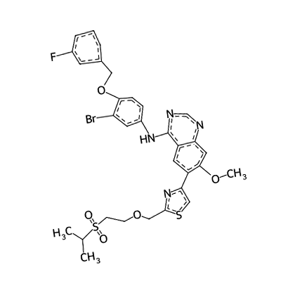 COc1cc2ncnc(Nc3ccc(OCc4cccc(F)c4)c(Br)c3)c2cc1-c1csc(COCCS(=O)(=O)C(C)C)n1